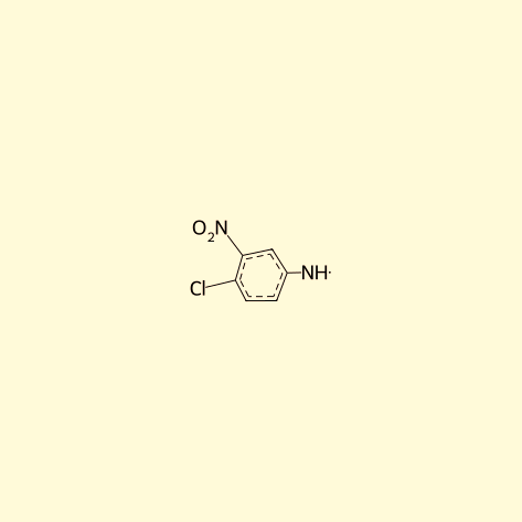 [NH]c1ccc(Cl)c([N+](=O)[O-])c1